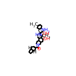 CCC1C2CCN(C(=O)C3=CC[C@@H]4CCCC[C@@H]4C3)CC2CC(O)C1C(C)N[C@@H](C[C@H]1CCC=C(C)C1)[C@@H](N)O